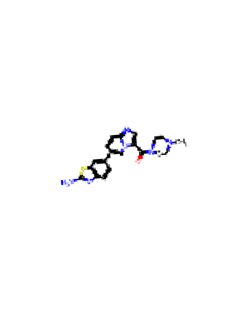 CN1CCN(C(=O)c2cnc3ccc(-c4ccc5nc(N)sc5c4)cn23)CC1